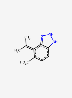 CC(C)=c1c(C(=O)O)ccc2c1=NNN2